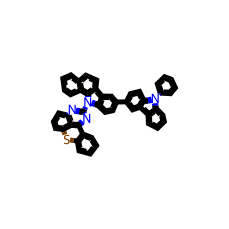 c1ccc(-n2c3ccccc3c3cc(-c4ccc5c(c4)c4ccc6ccccc6c4n5-c4nc5c6c(cccc6n4)Sc4ccccc4-5)ccc32)cc1